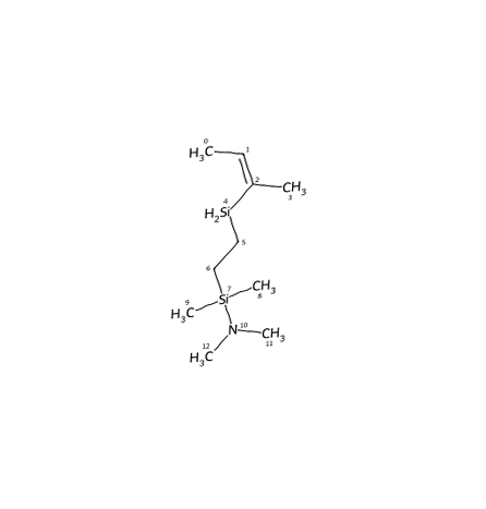 CC=C(C)[SiH2]CC[Si](C)(C)N(C)C